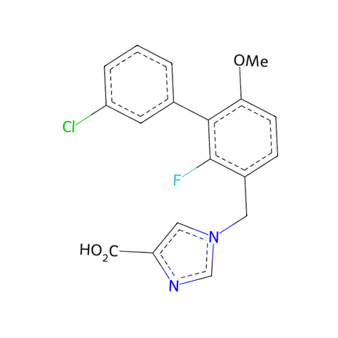 COc1ccc(Cn2cnc(C(=O)O)c2)c(F)c1-c1cccc(Cl)c1